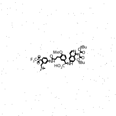 COc1ccc(C(Nc2ccc3c(N(C(=O)OC(C)(C)C)C(=O)OC(C)(C)C)nccc3c2)C(=O)O)cc1CCC(=O)Nc1ccc(S(=O)(=O)C(F)(F)F)c(CN(C)C)c1